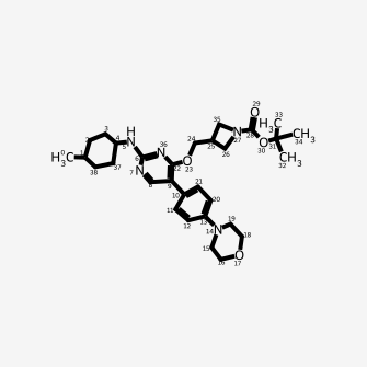 CC1CCC(Nc2ncc(-c3ccc(N4CCOCC4)cc3)c(OCC3CN(C(=O)OC(C)(C)C)C3)n2)CC1